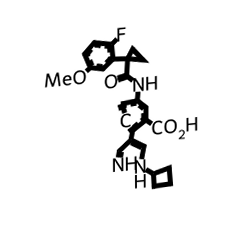 COc1ccc(F)c(C2(C(=O)Nc3ccc(/C(C=N)=C/NC4CCC4)c(C(=O)O)c3)CC2)c1